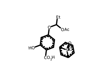 CCC(OC(C)=O)Oc1ccc(C(=O)O)c(O)c1.O=S1(=O)c2cccc1c2